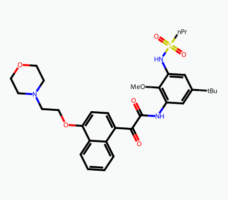 CCCS(=O)(=O)Nc1cc(C(C)(C)C)cc(NC(=O)C(=O)c2ccc(OCCN3CCOCC3)c3ccccc23)c1OC